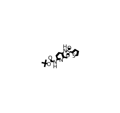 Cc1nc(NC(=O)OC(C)(C)C)ccc1NS(=O)(=O)c1cccs1